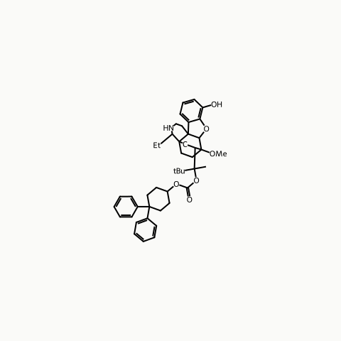 CCC1NCCC23c4cccc(O)c4OC2C2(OC)CCC13CC2C(C)(OC(=O)OC1CCC(c2ccccc2)(c2ccccc2)CC1)C(C)(C)C